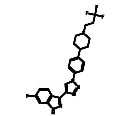 Fc1ccc2c(-c3cn(-c4ccc(C5CCN(CCC(F)(F)F)CC5)cc4)nn3)n[nH]c2c1